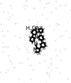 CC12C=CC3c4ccccc4N(c4cccc(-c5cccc(-c6cccnc6C#N)c5)c4)C3C1c1ccccc1O2